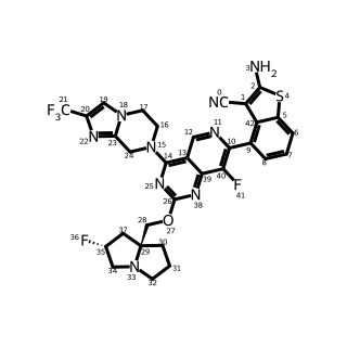 N#Cc1c(N)sc2cccc(-c3ncc4c(N5CCn6cc(C(F)(F)F)nc6C5)nc(OC[C@@]56CCCN5C[C@H](F)C6)nc4c3F)c12